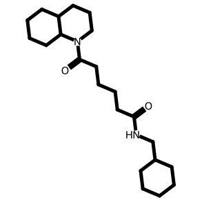 O=C(CCCCC(=O)N1CCCC2CCCCC21)NCC1CCCCC1